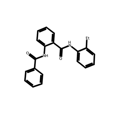 CCc1ccccc1NC(=O)c1ccccc1NC(=O)c1ccccc1